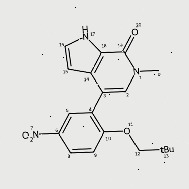 Cn1cc(-c2cc([N+](=O)[O-])ccc2OCC(C)(C)C)c2cc[nH]c2c1=O